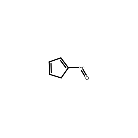 [O]=[Fe][C]1=CC=CC1